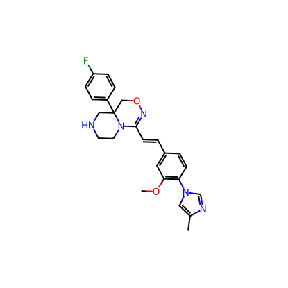 COc1cc(/C=C/C2=NOCC3(c4ccc(F)cc4)CNCCN23)ccc1-n1cnc(C)c1